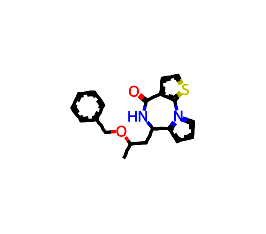 CC(CC1NC(=O)c2ccsc2-n2cccc21)OCc1ccccc1